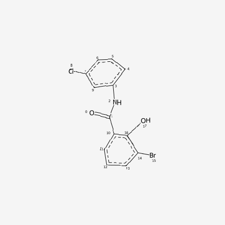 O=C(Nc1cccc(Cl)c1)c1cccc(Br)c1O